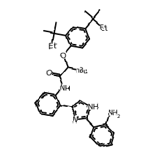 CCCCC(Oc1ccc(C(C)(C)CC)cc1C(C)(C)CC)C(=O)Nc1ccccc1-c1c[nH]c(-c2ccccc2N)n1